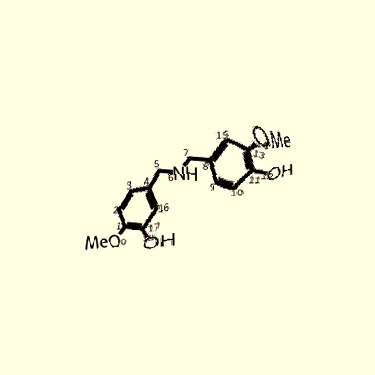 COc1ccc(CNCc2ccc(O)c(OC)c2)cc1O